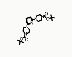 CC(C)(C)OC(=O)N1CCN(c2cccc(N3CCN(C(=O)OC(C)(C)C)CC3)n2)CC1